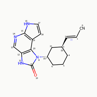 N#C/C=C/[C@H]1CCC[C@H](n2c(=O)[nH]c3cnc4[nH]ccc4c32)C1